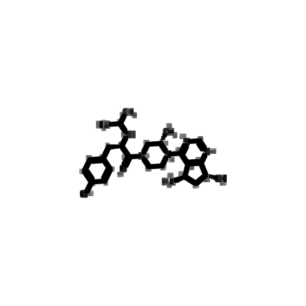 CC(C)N[C@H](Cc1ccc(Cl)cc1)C(=O)N1CCN(c2ncnc3c2[C@H](C)C[C@H]3O)[C@@H](C)C1